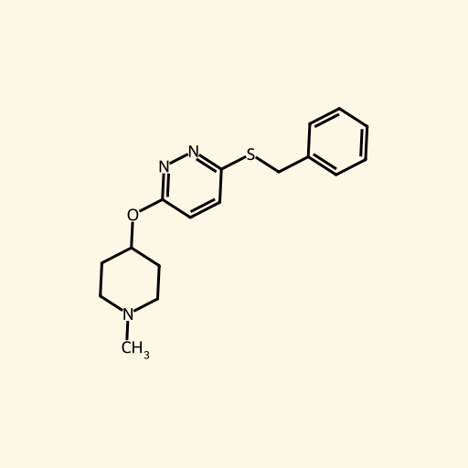 CN1CCC(Oc2ccc(SCc3ccccc3)nn2)CC1